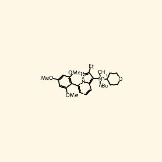 CCCC[N+](C)(c1c(CC)nn2c(-c3c(OC)cc(OC)cc3OC)cccc12)C1CCOCC1